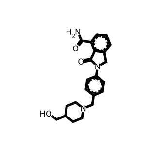 NC(=O)c1cccc2c1C(=O)N(c1ccc(CN3CCC(CO)CC3)cc1)C2